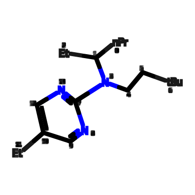 CCCC(CC)N(CCC(C)(C)C)c1ncc(CC)cn1